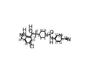 CC(C)(C1CCN(C(=O)Nc2ccc(C#N)nc2)CC1)C(O)c1cc(Cl)cc2cn[nH]c12